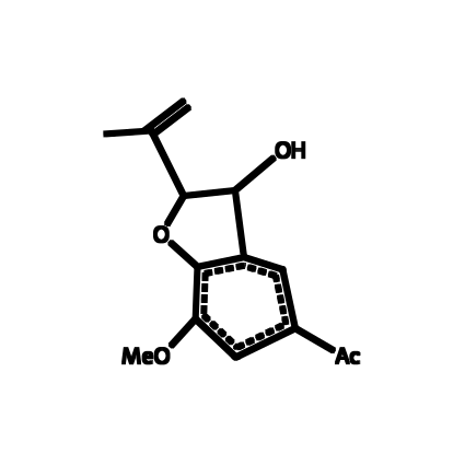 C=C(C)C1Oc2c(OC)cc(C(C)=O)cc2C1O